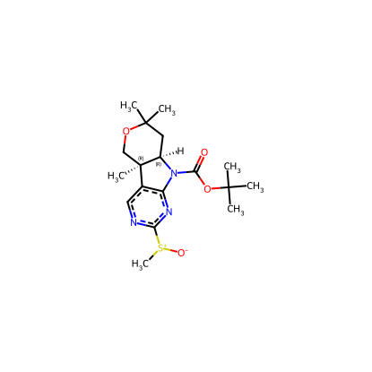 C[S+]([O-])c1ncc2c(n1)N(C(=O)OC(C)(C)C)[C@@H]1CC(C)(C)OC[C@]21C